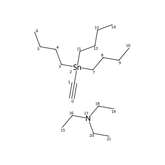 C#[C][Sn]([CH2]CCC)([CH2]CCC)[CH2]CCC.CCN(CC)CC